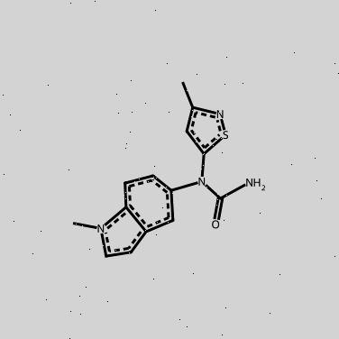 Cc1cc(N(C(N)=O)c2ccc3c(ccn3C)c2)sn1